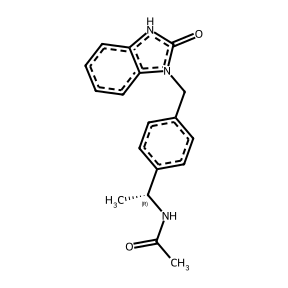 CC(=O)N[C@H](C)c1ccc(Cn2c(=O)[nH]c3ccccc32)cc1